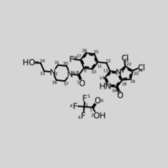 O=C(O)C(F)(F)F.O=C(c1cc(Cc2c[nH]c(=O)c3cc(Cl)c(Cl)n23)ccc1F)N1CCN(CCO)CC1